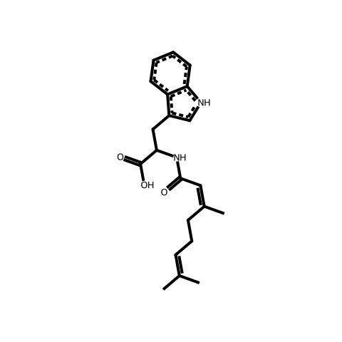 CC(C)=CCCC(C)=CC(=O)NC(Cc1c[nH]c2ccccc12)C(=O)O